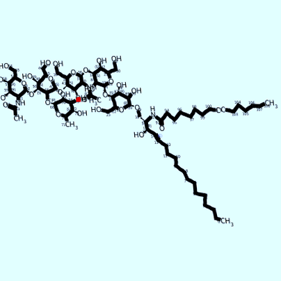 CCCCCCCCCCCCC/C=C/[C@@H](O)[C@H](CO[C@@H]1OC(CO)[C@@H](O[C@@H]2OC(CO)[C@H](O)[C@H](O[C@@H]3OC(CO)[C@@H](O[C@@H]4OC(CO)[C@H](O)[C@H](O[C@@H]5OC(CO)[C@H](O)[C@H](O)C5NC(C)=O)C4O[C@H]4OC(C)[C@@H](O)C(O)[C@@H]4O)[C@H](O)C3NC(C)=O)C2O)[C@H](O)C1O)NC(=O)CCCCCCCCCCCCCCC